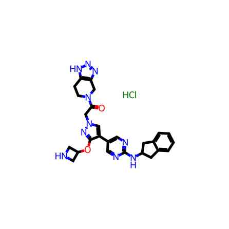 Cl.O=C(Cn1cc(-c2cnc(NC3Cc4ccccc4C3)nc2)c(OC2CNC2)n1)N1CCc2[nH]nnc2C1